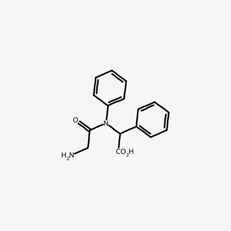 NCC(=O)N(c1ccccc1)C(C(=O)O)c1ccccc1